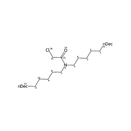 CCCCCCCCCCCCCCCN(CCCCCCCCCCCCCCC)C(=O)CCl